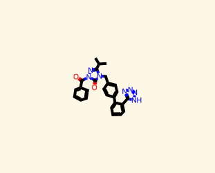 CC(C)c1nn(C(=O)c2ccccc2)c(=O)n1Cc1ccc(-c2ccccc2-c2nnn[nH]2)cc1